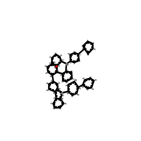 c1ccc(-c2ccc(N(c3ccccc3)c3ccccc3-c3ccccc3-c3ccc4c5ccccc5n(-c5ccc(-c6ccccc6)cc5)c4c3)cc2)cc1